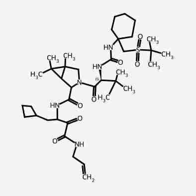 C=CCNC(=O)C(=O)C(CC1CCC1)NC(=O)C1C2C(C)(C)C2(C)CN1C(=O)[C@@H](NC(=O)NC1(CS(=O)(=O)C(C)(C)C)CCCCC1)C(C)(C)C